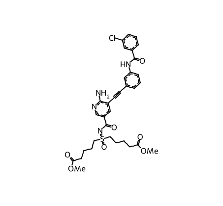 COC(=O)CCCCS(=O)(CCCCC(=O)OC)=NC(=O)c1cnc(N)c(C#Cc2cccc(NC(=O)c3cccc(Cl)c3)c2)c1